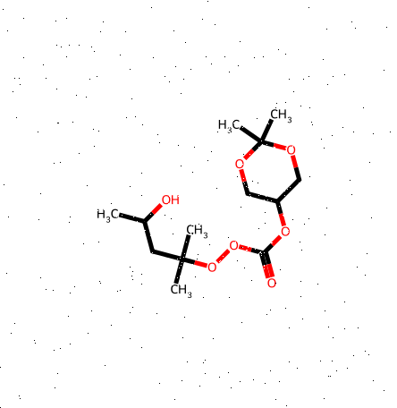 CC(O)CC(C)(C)OOC(=O)OC1COC(C)(C)OC1